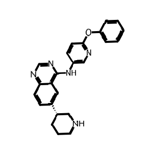 c1ccc(Oc2ccc(Nc3ncnc4ccc([C@H]5CCCNC5)cc34)cn2)cc1